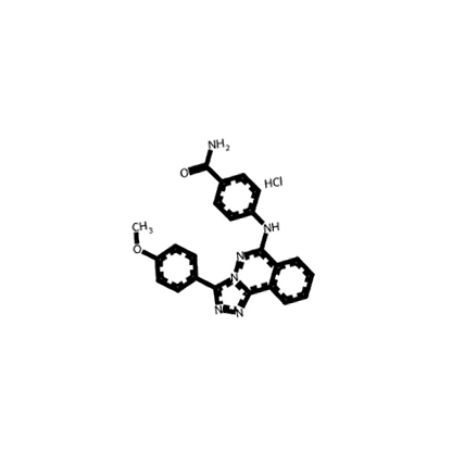 COc1ccc(-c2nnc3c4ccccc4c(Nc4ccc(C(N)=O)cc4)nn23)cc1.Cl